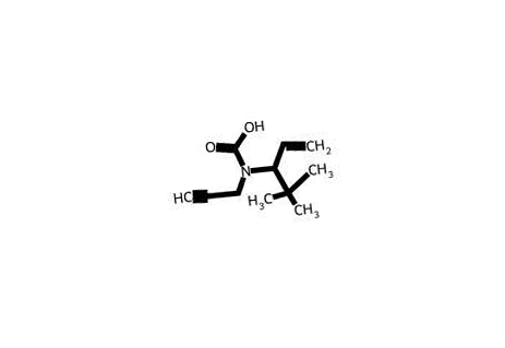 C#CCN(C(=O)O)C(C=C)C(C)(C)C